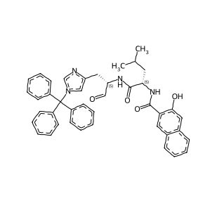 CC(C)C[C@H](NC(=O)c1cc2ccccc2cc1O)C(=O)N[C@H](C=O)Cc1cn(C(c2ccccc2)(c2ccccc2)c2ccccc2)cn1